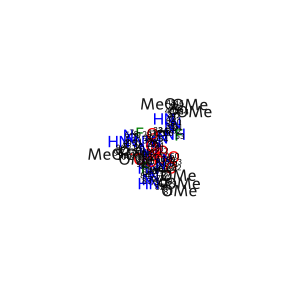 COc1cc(Nc2ncc(F)c(Nc3ccc4c(n3)N(COP(=O)(OCN3C(=O)C(C)(C)Oc5ccc(Nc6nc(Nc7cc(OC)c(OC)c(OC)c7)ncc6F)nc53)OCN3C(=O)C(C)(C)Oc5ccc(Nc6nc(Nc7cc(OC)c(OC)c(OC)c7)ncc6F)nc53)C(=O)C(C)(C)O4)n2)cc(OC)c1OC